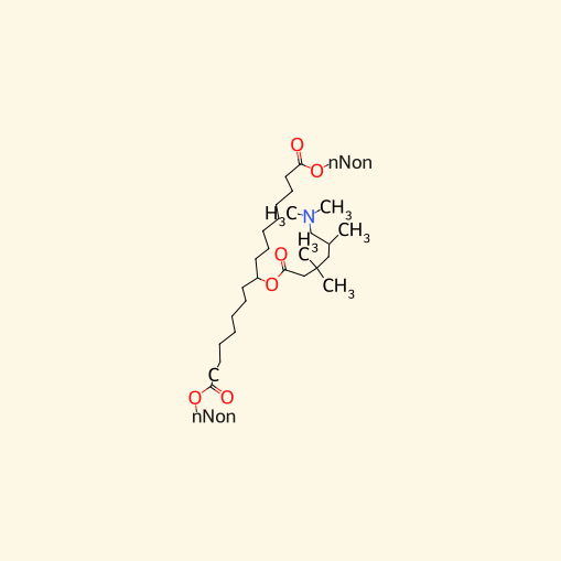 CCCCCCCCCOC(=O)CCCCCCCC(CCCCCCCC(=O)OCCCCCCCCC)OC(=O)CC(C)(C)CC(C)CN(C)C